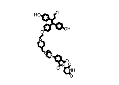 O=C1CCC(N2C(=O)c3ccc(N4CC5CC4CN5CC4CCN(CCOc5ccc(C(=C(CCCl)c6ccc(O)cc6)c6ccc(O)cc6)cc5)CC4)cc3C2=O)C(=O)N1